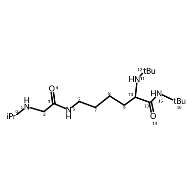 CC(C)NCC(=O)NCCCCC(NC(C)(C)C)C(=O)NC(C)(C)C